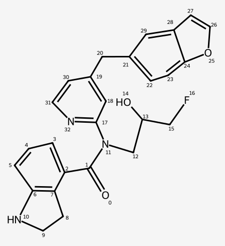 O=C(c1cccc2c1CCN2)N(CC(O)CF)c1cc(Cc2ccc3occc3c2)ccn1